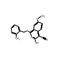 COc1ccc2c(C#N)c(O)nc(SCc3ccccc3C)c2c1